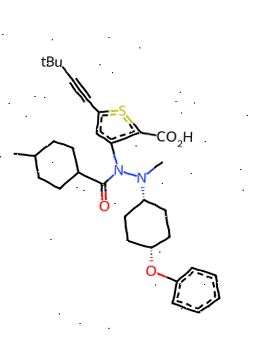 CC1CCC(C(=O)N(c2cc(C#CC(C)(C)C)sc2C(=O)O)N(C)[C@H]2CC[C@@H](Oc3ccccc3)CC2)CC1